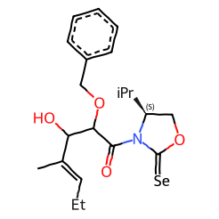 CCC=C(C)C(O)C(OCc1ccccc1)C(=O)N1C(=[Se])OC[C@@H]1C(C)C